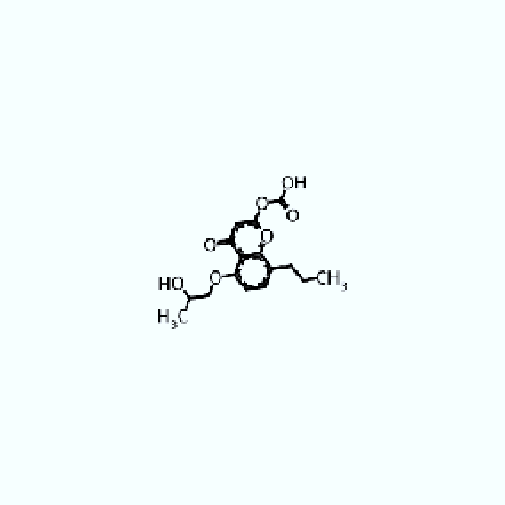 CCCc1ccc(OCC(C)O)c2c(=O)cc(OC(=O)O)oc12